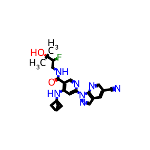 CC(C)(O)C(F)CNC(=O)c1cnc(-n2ncc3cc(C#N)cnc32)cc1NC12CC(C1)C2